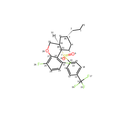 CCC[C@@H]1CC[C@@]2(S(=O)(=O)c3ccc(C(F)(F)F)cc3)c3c(F)ccc(F)c3OC[C@H]2C1